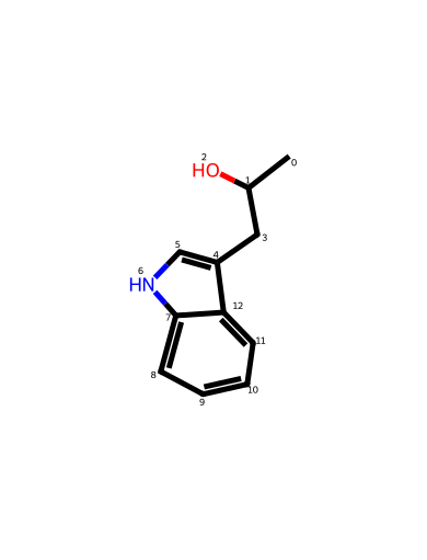 CC(O)Cc1c[nH]c2ccccc12